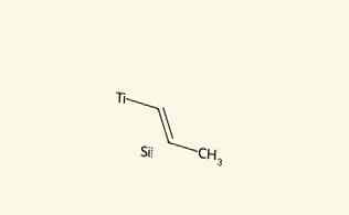 CC=[CH][Ti].[Si]